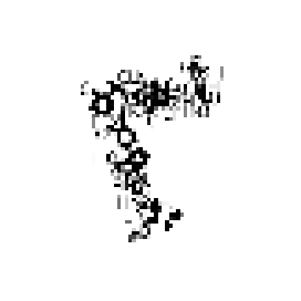 C#CC(C)Oc1cc(N2C(=O)C3=C(CCCC3)C2=O)c(F)cc1Cl.COc1c(Cl)ccc(Cl)c1C(=O)O.C[S+](C)C.O=C(Nc1nc(OC(F)F)cc(OC(F)F)n1)NS(=O)(=O)c1ccccc1C(=O)O.O=C(O)CNCP(=O)([O-])O